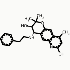 Cc1cc(O)nc2cc3c(cc12)OC(C)(C)[C@H](O)[C@H]3NCCc1ccccc1